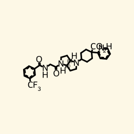 O=C(NCC(=O)N1CC[C@@H]2[C@H]1CCN2C1CCC(C(=O)O)(c2ccccn2)CC1)c1cccc(C(F)(F)F)c1